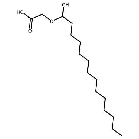 CCCCCCCCCCCCCC(O)OCC(=O)O